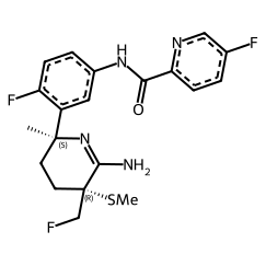 CS[C@]1(CF)CC[C@@](C)(c2cc(NC(=O)c3ccc(F)cn3)ccc2F)N=C1N